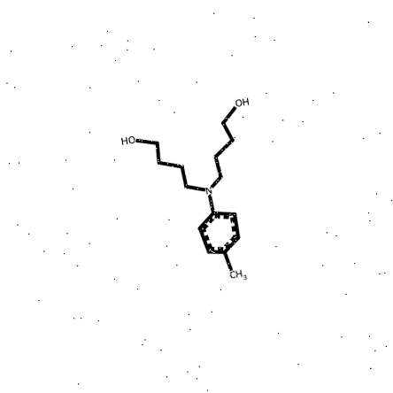 Cc1ccc(N(CCCCO)CCCCO)cc1